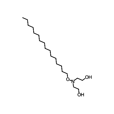 CCCCCCCCCCCCCCCCON(CCO)CCO